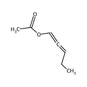 CCC=C=COC(C)=O